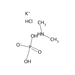 CNC.Cl.O=P([O-])(O)O.[K+]